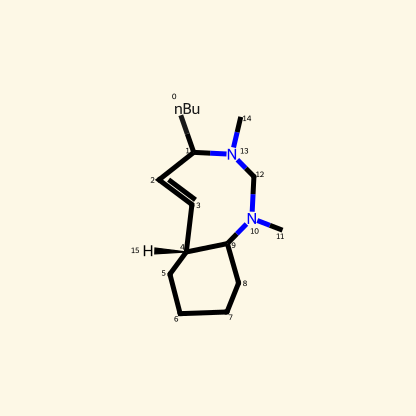 CCCCC1/C=C/[C@H]2CCCCC2N(C)CN1C